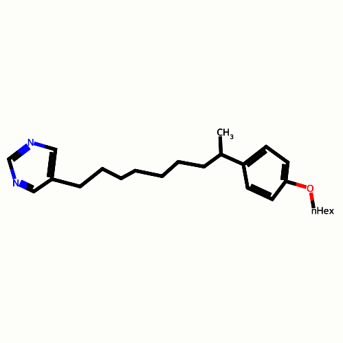 CCCCCCOc1ccc(C(C)CCCCCCCc2cncnc2)cc1